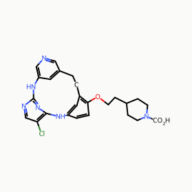 O=C(O)N1CCC(CCOc2ccc3cc2CCc2cncc(c2)Nc2ncc(Cl)c(n2)N3)CC1